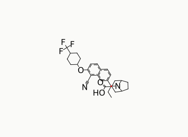 CCC(c1ccc2ccc(OC3CCC(C(F)(F)F)CC3)c(C#N)c2c1)N1C2CCC1CC(C(=O)O)C2